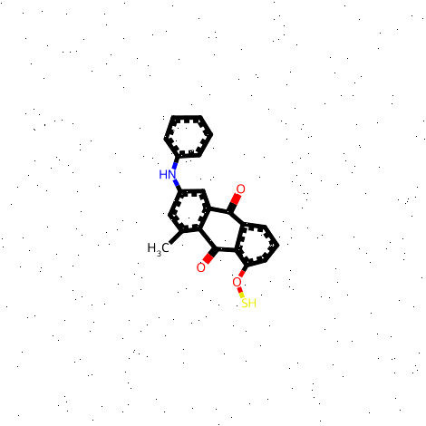 Cc1cc(Nc2ccccc2)cc2c1C(=O)c1c(OS)cccc1C2=O